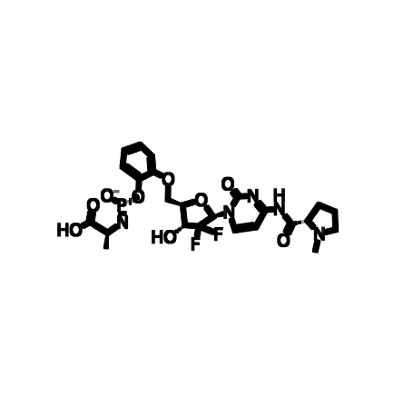 C[C@H](/N=[P+](\[O-])Oc1ccccc1OC[C@H]1O[C@@H](n2ccc(NC(=O)[C@@H]3CCCN3C)nc2=O)C(F)(F)[C@@H]1O)C(=O)O